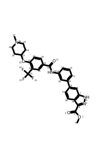 COC(=O)c1n[nH]c2cc(-c3cccc(NC(=O)c4ccc(OC5CCN(C)CC5)c(C(F)(F)F)c4)c3)ccc12